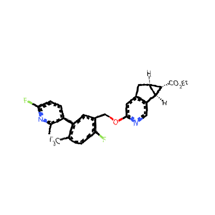 CCOC(=O)[C@H]1[C@@H]2Cc3cc(OCc4cc(-c5ccc(F)nc5C)c(C(F)(F)F)cc4F)ncc3[C@@H]21